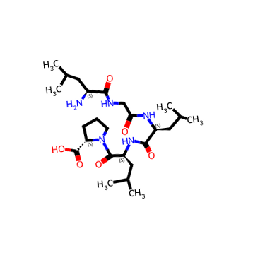 CC(C)C[C@H](NC(=O)CNC(=O)[C@@H](N)CC(C)C)C(=O)N[C@@H](CC(C)C)C(=O)N1CCC[C@H]1C(=O)O